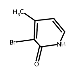 Cc1cc[nH]c(=O)c1Br